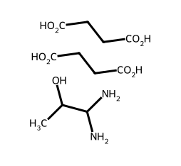 CC(O)C(N)N.O=C(O)CCC(=O)O.O=C(O)CCC(=O)O